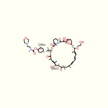 CO[C@@H]1C[C@H](C[C@@H](C)[C@@H]2CC(=O)C(C)/C=C(\C)[C@@H](O)[C@@H](OC)C(=O)[C@H](C)C[C@H](C)/C=C/C=C/C=C(\C)C(OCCO)CC3CC[C@@H](C)[C@@](O)(O3)C(=O)C(=O)N3CCCC[C@H]3C(=O)O2)CC[C@H]1OC(=O)N(C)CCN1CCOCC1